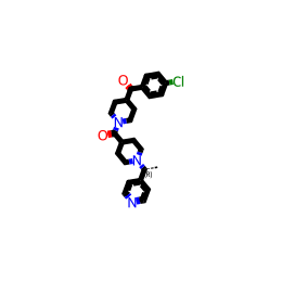 C[C@H](c1ccncc1)N1CCC(C(=O)N2CCC(C(=O)c3ccc(Cl)cc3)CC2)CC1